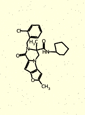 Cc1cc2c(cc3n2CC(C)(C(=O)NC2CCCCC2)N(Cc2ccccc2Cl)C3=O)o1